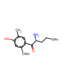 [CH2]c1cc(C(=O)[C@@H](N)CCSC)c(OC)cc1O